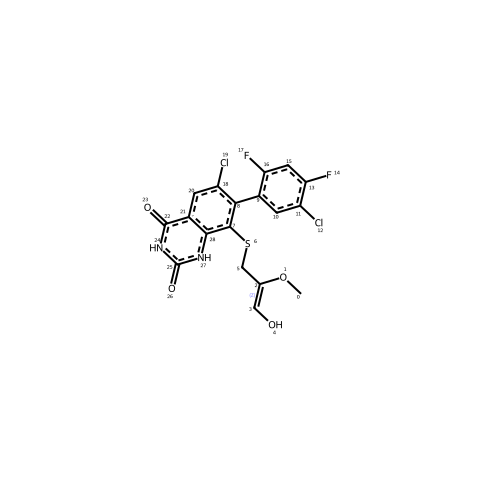 CO/C(=C\O)CSc1c(-c2cc(Cl)c(F)cc2F)c(Cl)cc2c(=O)[nH]c(=O)[nH]c12